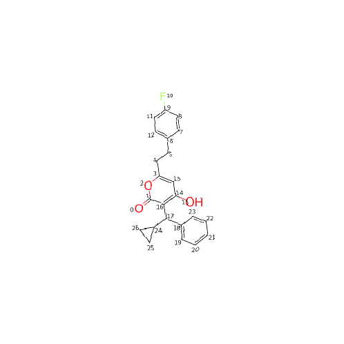 O=c1oc(CCc2ccc(F)cc2)cc(O)c1C(c1ccccc1)C1CC1